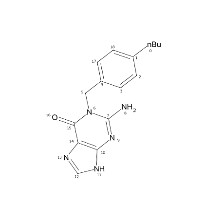 CCCCc1ccc(Cn2c(N)nc3[nH]cnc3c2=O)cc1